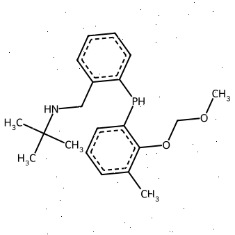 COCOc1c(C)cccc1Pc1ccccc1CNC(C)(C)C